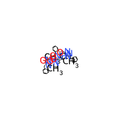 CNC(=O)[C@H](Cc1ccccc1)N(C)C(=O)[C@H]1CCCN1C(=O)[C@@H](CC(C)C)NC(=O)c1ccccc1OCc1cn(Cc2ccccc2)nn1